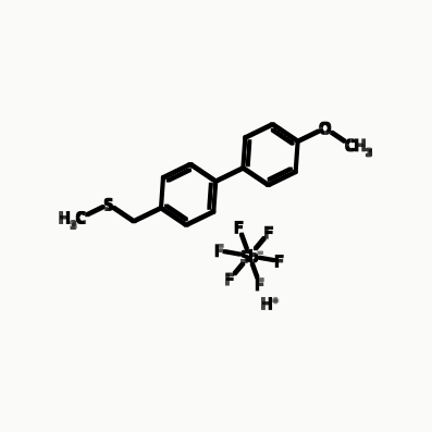 COc1ccc(-c2ccc(CSC)cc2)cc1.[F][Sb-]([F])([F])([F])([F])[F].[H+]